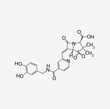 CC1(C)[C@H](C(=O)O)N2C(=O)/C(=C/c3cc(C(=O)NCc4ccc(O)c(O)c4)ccn3)[C@H]2S1(=O)=O